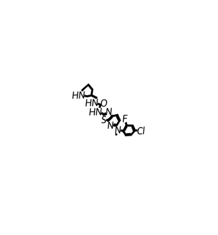 CN(c1ccc2nc(NC(=O)NCC3CCCNC3)sc2n1)c1ccc(Cl)cc1F